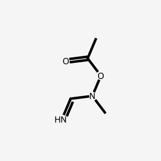 CC(=O)ON(C)C=N